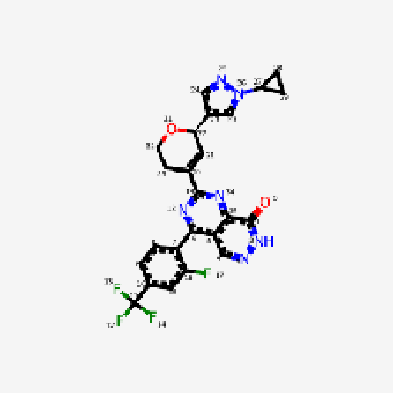 O=c1[nH]ncc2c(-c3ccc(C(F)(F)F)cc3F)nc(C3=C[C@H](c4cnn(C5CC5)c4)OCC3)nc12